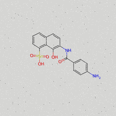 Nc1ccc(C(=O)Nc2ccc3cccc(S(=O)(=O)O)c3c2O)cc1